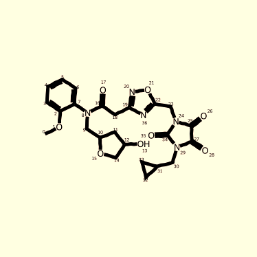 COc1ccccc1N(CC1CC(O)CO1)C(=O)Cc1noc(CN2C(=O)C(=O)N(CC3CC3)C2=O)n1